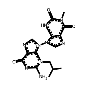 CC(C)Cn1c(N)nc(=O)c2ncn(-n3cnc4c(=O)n(C)c(=O)[nH]c43)c21